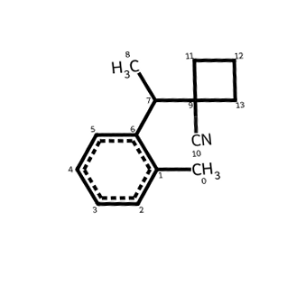 Cc1ccccc1C(C)C1(C#N)CCC1